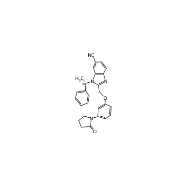 C[C@@H](c1ccccc1)n1c(COc2cccc(N3CCCC3=O)c2)nc2ccc(C#N)cc21